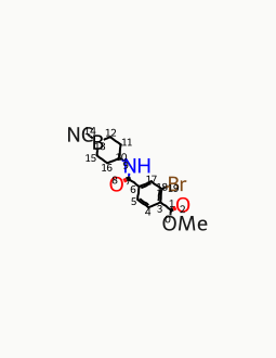 COC(=O)c1ccc(C(=O)NC2CCB(C#N)CC2)cc1Br